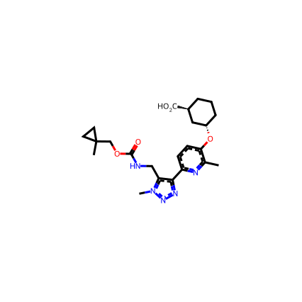 Cc1nc(-c2nnn(C)c2CNC(=O)OCC2(C)CC2)ccc1O[C@H]1CCC[C@H](C(=O)O)C1